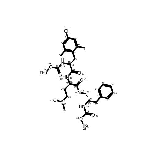 Cc1cc(O)cc(C)c1C[C@H](NC(=O)OC(C)(C)C)C(=O)N[C@H](CC[S+](C)[O-])C(=O)NC[C@H](Cc1ccccc1)NC(=O)OC(C)(C)C